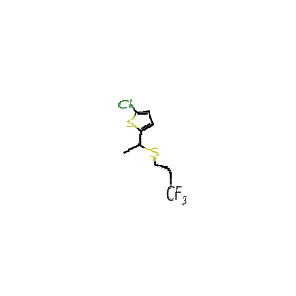 CC(SCCC(F)(F)F)c1ccc(Cl)s1